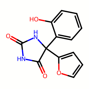 O=C1NC(=O)C(c2ccco2)(c2ccccc2O)N1